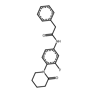 O=C(Cc1ccccc1)Nc1ccc(N2CCCCC2=O)c(F)c1